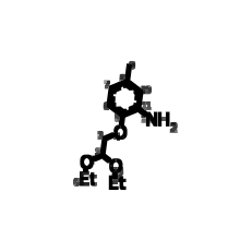 CCOC(COc1ccc(C)cc1N)OCC